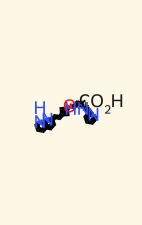 O=C(O)[C@H](CCOC1CC(CCc2ccc3c(n2)NCCC3)C1)NCc1ccccn1